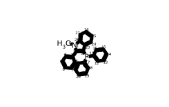 Cn1c(-c2ccccc2)c(P(c2ccccc2)c2ccccc2)c2ccccc21